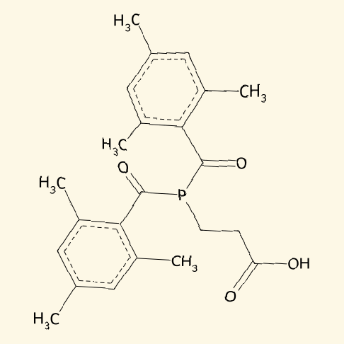 Cc1cc(C)c(C(=O)P(CCC(=O)O)C(=O)c2c(C)cc(C)cc2C)c(C)c1